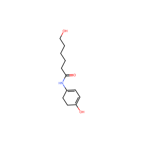 O=C(CCCCCO)NC1=CC=C(O)CC1